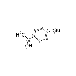 C[C@H](O)c1ccc(C(C)(C)C)cc1